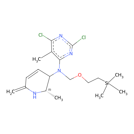 C=C1C=CC(N(COCC[Si](C)(C)C)c2nc(Cl)nc(Cl)c2C)[C@H](C)N1